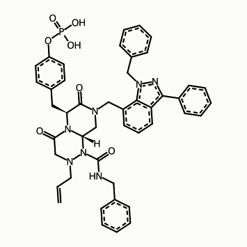 C=CCN1CC(=O)N2[C@@H](Cc3ccc(OP(=O)(O)O)cc3)C(=O)N(Cc3cccc4c(-c5ccccc5)nn(Cc5ccccc5)c34)C[C@@H]2N1C(=O)NCc1ccccc1